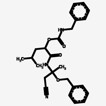 CC(C)CC(OC(=O)NCc1ccccc1)C(=O)NC(C)(CC#N)OCc1ccccc1